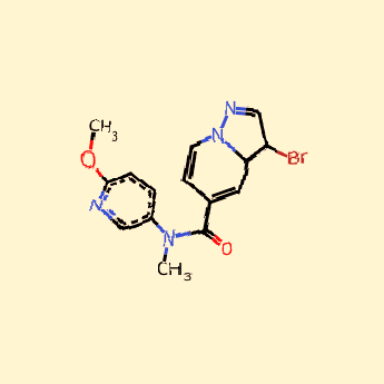 COc1ccc(N(C)C(=O)C2=CC3C(Br)C=NN3C=C2)cn1